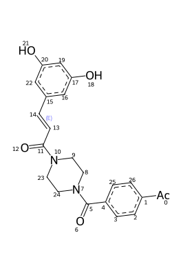 CC(=O)c1ccc(C(=O)N2CCN(C(=O)/C=C/c3cc(O)cc(O)c3)CC2)cc1